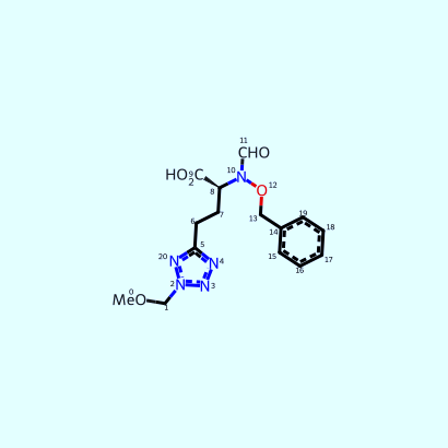 COCn1nnc(CC[C@@H](C(=O)O)N(C=O)OCc2ccccc2)n1